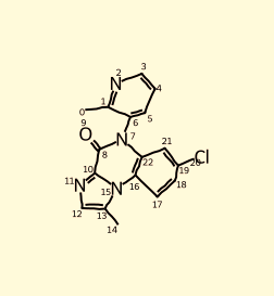 Cc1ncccc1-n1c(=O)c2ncc(C)n2c2ccc(Cl)cc21